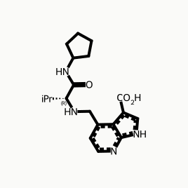 CC(C)[C@@H](NCc1ccnc2[nH]cc(C(=O)O)c12)C(=O)NC1CCCC1